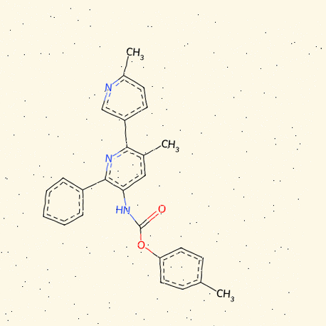 Cc1ccc(OC(=O)Nc2cc(C)c(-c3ccc(C)nc3)nc2-c2ccccc2)cc1